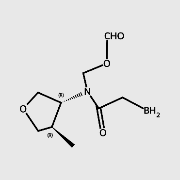 BCC(=O)N(COC=O)[C@H]1COC[C@@H]1C